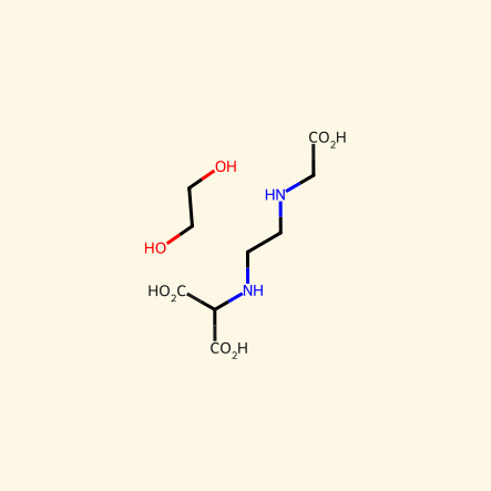 O=C(O)CNCCNC(C(=O)O)C(=O)O.OCCO